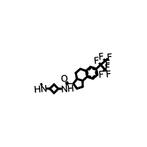 CNC1CC(NC(=O)[C@@H]2CCC3c4ccc(C(F)(C(F)(F)F)C(F)(F)F)cc4CCC32)C1